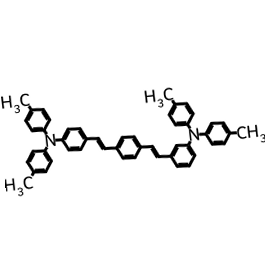 Cc1ccc(N(c2ccc(C)cc2)c2ccc(C=Cc3ccc(C=Cc4cccc(N(c5ccc(C)cc5)c5ccc(C)cc5)c4)cc3)cc2)cc1